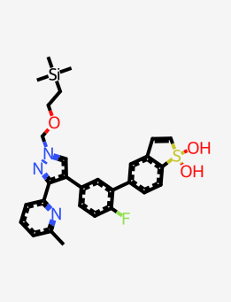 Cc1cccc(-c2nn(COCC[Si](C)(C)C)cc2-c2ccc(F)c(-c3ccc4c(c3)C=CS4(O)O)c2)n1